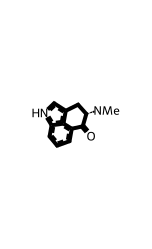 CN[C@H]1Cc2c[nH]c3cccc(c23)C1=O